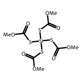 COC(=O)S[Si](SC(=O)OC)(SC(=O)OC)SC(=O)OC